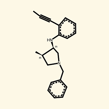 CC#Cc1ccccc1N[C@H]1CN(Cc2ccccc2)C[C@H]1C